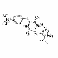 C=C(C)c1[nH]cnc1/C=c1\[nH]c(=O)/c(=C/c2ccc([N+](=O)[O-])cc2)[nH]c1=O